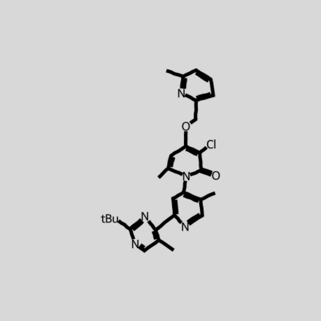 Cc1cccc(COc2cc(C)n(-c3cc(-c4nc(C(C)(C)C)ncc4C)ncc3C)c(=O)c2Cl)n1